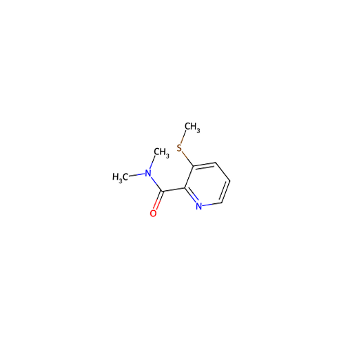 CSc1cccnc1C(=O)N(C)C